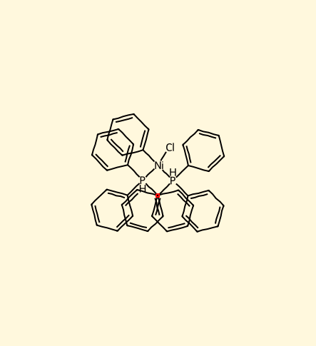 [Cl][Ni]([c]1ccccc1)([PH](c1ccccc1)(c1ccccc1)c1ccccc1)[PH](c1ccccc1)(c1ccccc1)c1ccccc1